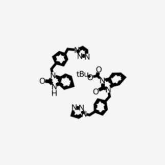 CC(C)(C)OC(=O)n1c(=O)n(Cc2ccc(Cn3ccnn3)cc2)c2ccccc21.O=c1[nH]c2ccccc2n1Cc1ccc(Cn2ccnn2)cc1